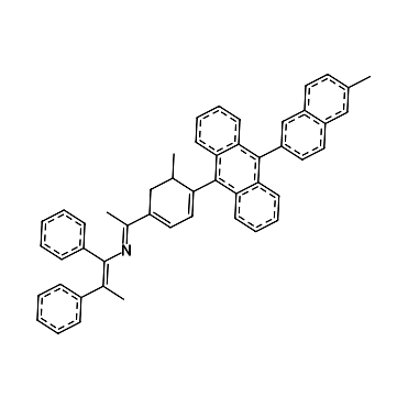 C/C(=N\C(=C(/C)c1ccccc1)c1ccccc1)C1=CC=C(c2c3ccccc3c(-c3ccc4cc(C)ccc4c3)c3ccccc23)C(C)C1